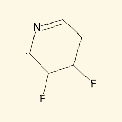 FC1[CH]N=CCC1F